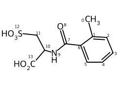 Cc1ccccc1C(=O)NC(CS(=O)(=O)O)C(=O)O